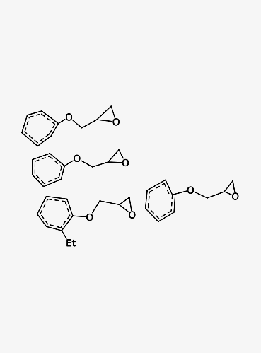 CCc1ccccc1OCC1CO1.c1ccc(OCC2CO2)cc1.c1ccc(OCC2CO2)cc1.c1ccc(OCC2CO2)cc1